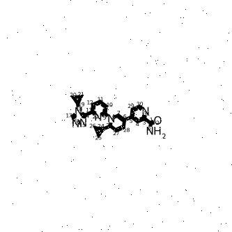 NC(=O)c1cc(C2=CN(c3cccc(-c4nncn4C4CC4)n3)C(C3CC3)C=C2)ccn1